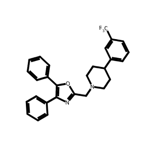 FC(F)(F)c1cccc(C2CCN(Cc3nc(-c4ccccc4)c(-c4ccccc4)o3)CC2)c1